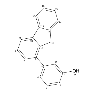 Oc1cccc(-c2cccc3c2Cc2ccccc2-3)c1